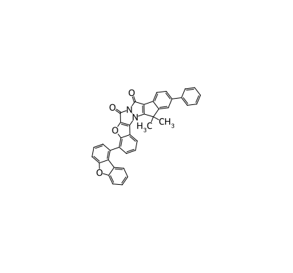 CC1(C)c2cc(-c3ccccc3)ccc2-c2c1n1c3c(oc4c(-c5cccc6oc7ccccc7c56)cccc43)c(=O)n1c2=O